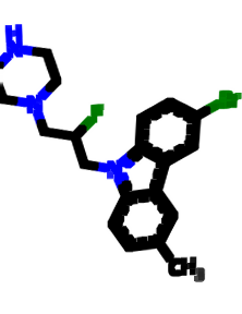 Cc1ccc2c(c1)c1cc(Br)ccc1n2CC(F)CN1CCNCC1